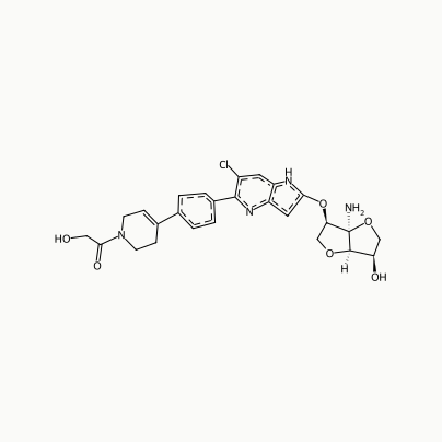 N[C@]12OC[C@@H](O)[C@H]1OC[C@H]2Oc1cc2nc(-c3ccc(C4=CCN(C(=O)CO)CC4)cc3)c(Cl)cc2[nH]1